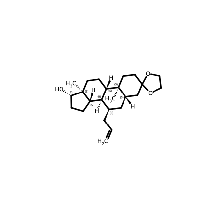 C=CC[C@@H]1C[C@H]2CC3(CC[C@]2(C)[C@H]2CC[C@]4(C)[C@@H](O)CC[C@H]4[C@H]12)OCCO3